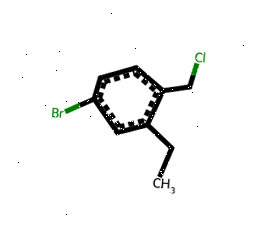 CCc1cc(Br)ccc1CCl